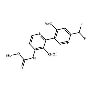 COc1cc(C(F)F)ncc1-c1nccc(NC(=O)OC(C)(C)C)c1C=O